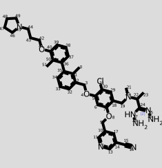 Cc1c(COc2cc(OCc3cncc(C#N)c3)c(CN(C)C(C)/C(=N/N)NN)cc2Cl)cccc1-c1cccc(OCCCN2CCCC2)c1C